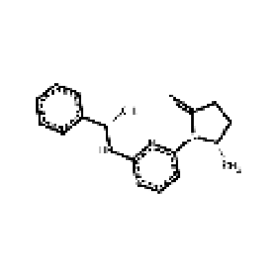 C[C@H](Nc1nccc(N2C(=O)CC[C@@H]2C)n1)c1ccccc1